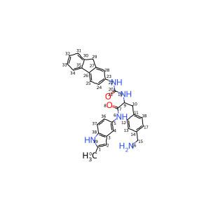 Cc1cc2cc(NC(=O)C(Cc3ccc(CN)cc3)NC(=O)Nc3ccc4c(c3)Cc3ccccc3-4)ccc2[nH]1